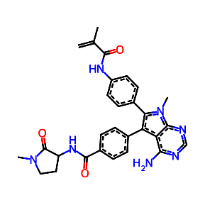 C=C(C)C(=O)Nc1ccc(-c2c(-c3ccc(C(=O)NC4CCN(C)C4=O)cc3)c3c(N)ncnc3n2C)cc1